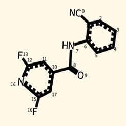 N#Cc1ccccc1NC(=O)c1cc(F)nc(F)c1